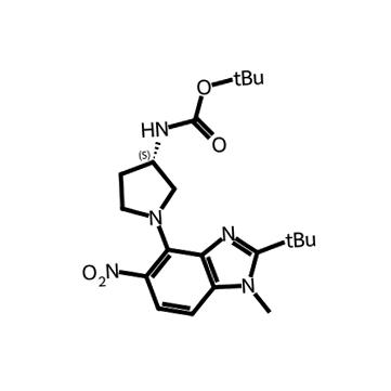 Cn1c(C(C)(C)C)nc2c(N3CC[C@H](NC(=O)OC(C)(C)C)C3)c([N+](=O)[O-])ccc21